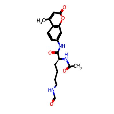 CC(=O)N[C@@H](CCCCNC=O)C(=O)Nc1ccc2c(C)cc(=O)oc2c1